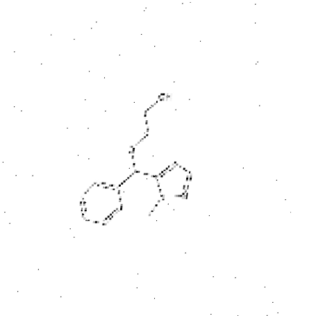 Cn1nccc1C(OCCO)c1ccccc1